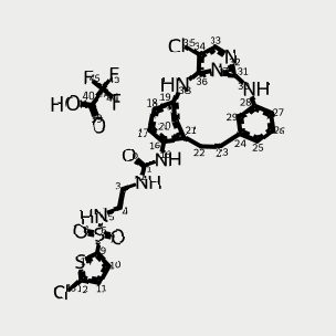 O=C(NCCNS(=O)(=O)c1ccc(Cl)s1)Nc1ccc2cc1CCc1cccc(c1)Nc1ncc(Cl)c(n1)N2.O=C(O)C(F)(F)F